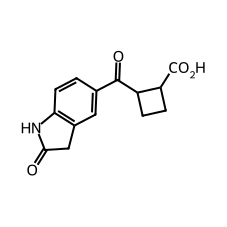 O=C1Cc2cc(C(=O)C3CCC3C(=O)O)ccc2N1